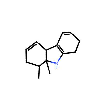 CC1CC=CC2C3=C(CCC=C3)NC12C